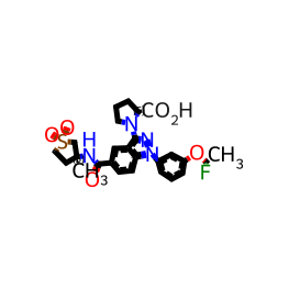 CC(F)Oc1cccc(-n2nc(N3CCC[C@H]3C(=O)O)c3cc(C(=O)N[C@@]4(C)CCS(=O)(=O)C4)ccc32)c1